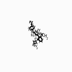 COc1cccc(O[C@H]2C[C@H](N)C2)c1-c1cc(Nc2cnc(C#N)cn2)n[nH]1